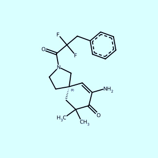 CC1(C)C[C@]2(C=C(N)C1=O)CCN(C(=O)C(F)(F)Cc1ccccc1)C2